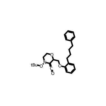 CC(C)(C)ON1CCOC(COc2ccccc2CCCCc2ccccc2)C1=C=O